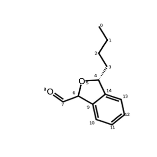 CCCC[C@H]1OC(C=O)c2ccccc21